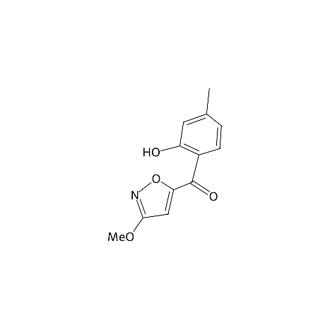 COc1cc(C(=O)c2ccc(C)cc2O)on1